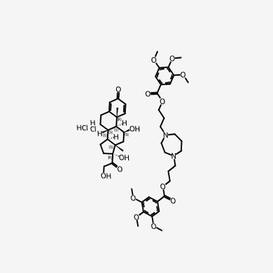 COc1cc(C(=O)OCCCN2CCCN(CCCOC(=O)c3cc(OC)c(OC)c(OC)c3)CC2)cc(OC)c1OC.C[C@]12C=CC(=O)C=C1CC[C@@H]1[C@@H]2[C@@H](O)C[C@@]2(C)[C@H]1CC[C@]2(O)C(=O)CO.Cl.Cl